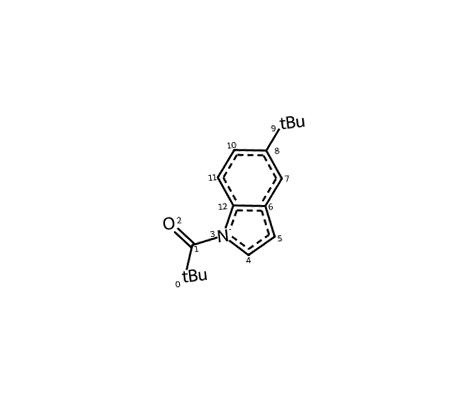 CC(C)(C)C(=O)n1ccc2cc(C(C)(C)C)ccc21